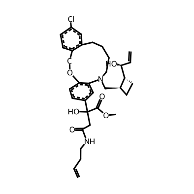 C=CCCNC(=O)CC(O)(C(=O)OC)c1ccc2c(c1)N(C[C@@H]1CC[C@H]1[C@@H](O)C=C)CCCCc1cc(Cl)ccc1CO2